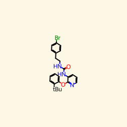 CC(C)(C)c1ccccc1Oc1ncccc1NC(=O)NCCc1ccc(Br)cc1